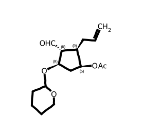 C=CC[C@@H]1[C@@H](C=O)[C@H](OC2CCCCO2)C[C@@H]1OC(C)=O